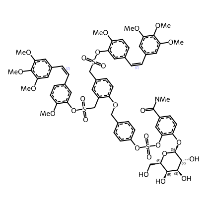 CNC(=O)c1ccc(O[C@@H]2O[C@H](CO)[C@H](O)[C@H](O)[C@H]2O)c(OS(=O)(=O)Oc2ccc(COc3ccc(CS(=O)(=O)Oc4cc(/C=C\c5cc(OC)c(OC)c(OC)c5)ccc4OC)cc3CS(=O)(=O)Oc3cc(/C=C\c4cc(OC)c(OC)c(OC)c4)ccc3OC)cc2)c1